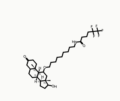 C[C@]12CCC(=O)CC1CC[C@@H]1[C@H]2C(OCCCCCCCCCNC(=O)CCCC(F)(F)C(F)(F)F)C[C@]2(C)C(O)CC[C@@H]12